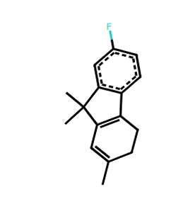 CC1=CC2=C(CC1)c1ccc(F)cc1C2(C)C